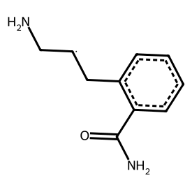 NC[CH]Cc1ccccc1C(N)=O